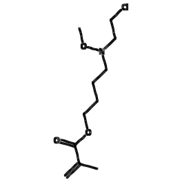 C=C(C)C(=O)OCCCCN(CCCl)OC